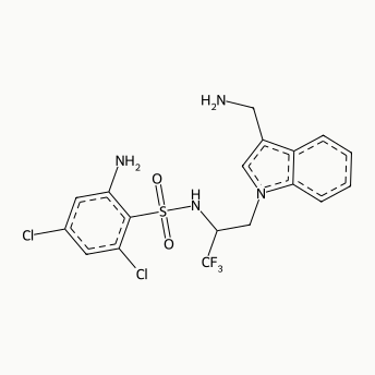 NCc1cn(CC(NS(=O)(=O)c2c(N)cc(Cl)cc2Cl)C(F)(F)F)c2ccccc12